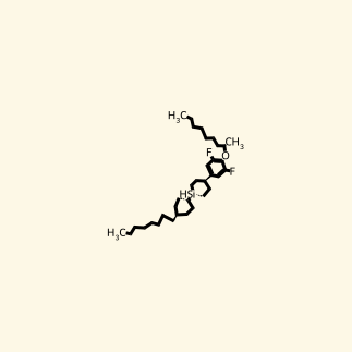 CCCCCCCC[C@H]1CC[C@H]([Si@H]2CC[C@H](c3cc(F)c(O[C@@H](C)CCCCCCC)c(F)c3)CC2)CC1